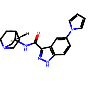 O=C(N[C@@H]1CN2CCC1CC2)c1n[nH]c2ccc(-n3cccc3)cc12